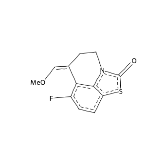 CO/C=C1/CCn2c(=O)sc3ccc(F)c1c32